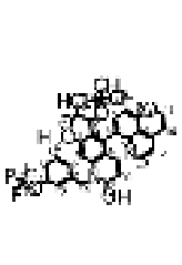 Cc1cc2c(c(-c3ccc4c5c(ccnc35)CCO4)c1[C@H](OC(C)(C)C)C(=O)O)C=CC(O)N2Cc1cccc(OC(F)(F)F)c1